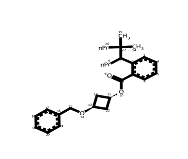 CCCC(c1ccccc1C(=O)O[C@H]1C[C@H](OCc2ccccc2)C1)C(C)(C)CCC